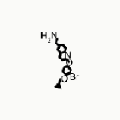 NCCc1ccc2nc(Oc3ccc(OCC4CC4)c(Br)c3)ccc2c1